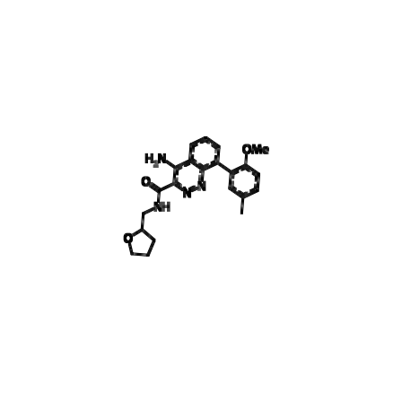 COc1ccc(C)cc1-c1cccc2c(N)c(C(=O)NCC3CCCO3)nnc12